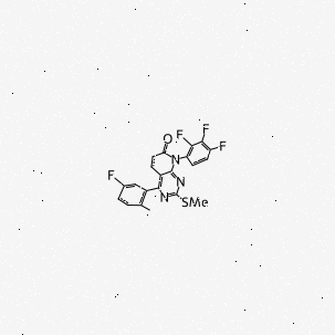 CSc1nc(-c2cc(F)ccc2C)c2ccc(=O)n(-c3ccc(F)c(F)c3F)c2n1